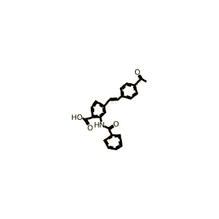 CC(=O)c1ccc(/C=C/c2ccc(C(=O)O)c(NC(=O)c3ccccc3)c2)cc1